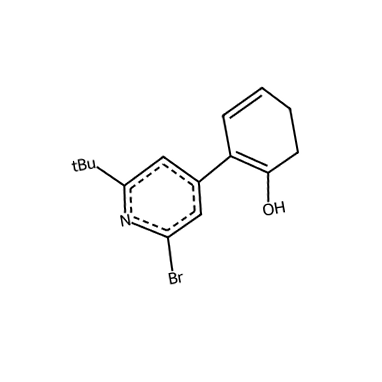 CC(C)(C)c1cc(C2=C(O)CCC=C2)cc(Br)n1